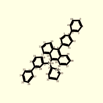 c1ccc(-c2ccc(-c3c4ccccc4c(N(c4cccc(-c5ccccc5)c4)c4ccccn4)c4ccccc34)cc2)cc1